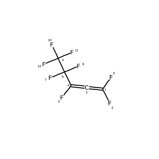 FC(F)=C=C(F)C(F)(F)C(F)(F)F